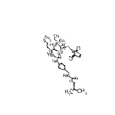 CC[C@H](C)[C@H](NC(=O)[C@H](CCSC)NC(=O)Nc1ccc(CNC(=O)OCC(C)C)cc1)C(=O)NCCN1C(=O)C=CC1=O